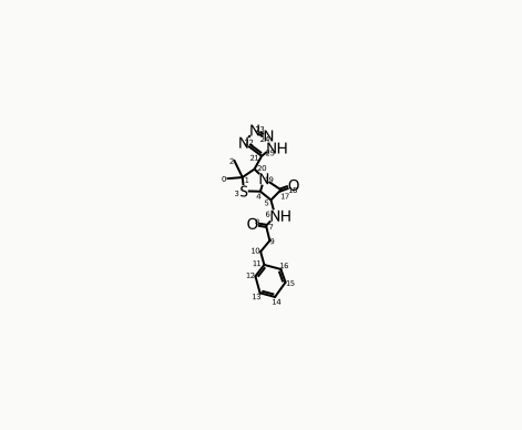 CC1(C)SC2C(NC(=O)CCc3ccccc3)C(=O)N2C1c1nnn[nH]1